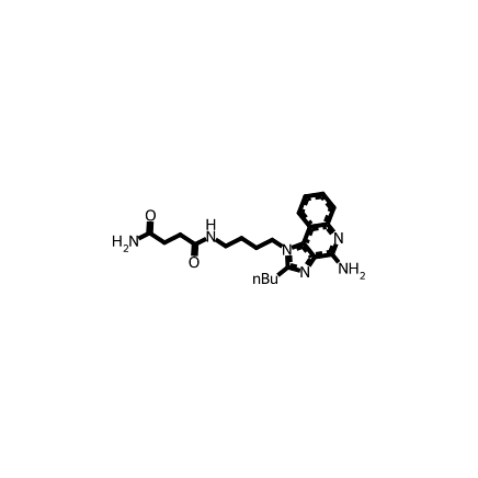 CCCCc1nc2c(N)nc3ccccc3c2n1CCCCNC(=O)CCC(N)=O